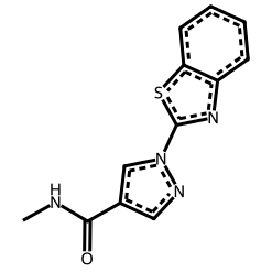 CNC(=O)c1cnn(-c2nc3ccccc3s2)c1